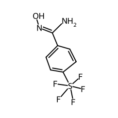 N/C(=N\O)c1ccc(S(F)(F)(F)(F)F)cc1